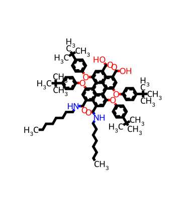 CCCCCCCCNC(=O)c1cc(Oc2ccc(C(C)(C)C)cc2)c2c3c(Oc4ccc(C(C)(C)C)cc4)cc(C(=O)O)c4c(C(=O)O)cc(Oc5ccc(C(C)(C)C)cc5)c(c5c(Oc6ccc(C(C)(C)C)cc6)cc(C(=O)NCCCCCCCC)c1c25)c43